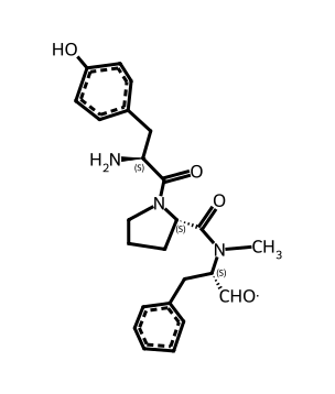 CN(C(=O)[C@@H]1CCCN1C(=O)[C@@H](N)Cc1ccc(O)cc1)[C@H]([C]=O)Cc1ccccc1